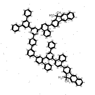 CC1(C)c2cc(-c3ccc(-c4cc(-c5cc(-c6ccccc6)cc(-c6ccccc6)c5)nc(-c5ccc(-c6cccc(-c7ccc(-c8ccccc8)c(-c8cc(-c9ccc(-c%10ccc%11c(c%10)C(C)(C)c%10cc%12ccccc%12cc%10-%11)c%10ccccc9%10)nc(-c9ccccc9)n8)c7)c6)cc5)n4)c4ccccc34)ccc2-c2cc3ccccc3cc21